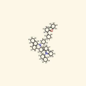 c1cc(-c2ccc(N(c3ccc(-c4ccc5ccccc5c4-n4c5ccccc5c5ccccc54)cc3)c3cc4ccccc4c4ccccc34)cc2)cc(-c2cccc3c2oc2ccccc23)c1